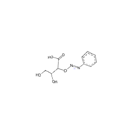 O=C(O)C(O/N=N/c1ccccc1)C(O)CO